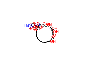 C[C@@H]1[C@H](O)[C@@H](C)/C=C/C=C/C=C/C=C/C=C/C=C/C=C/[C@H](O[C@@H]2O[C@H](C)[C@@H](O)[C@H](N)[C@@H]2O)C[C@@H]2O[C@](O)(C[C@@H](O)C[C@@H](O)[C@H](O)CC[C@@H](O)C[C@@H](O)CC(=O)O[C@H]1C)C[C@H](O)C2C(=O)NC1CCC(N)CC1